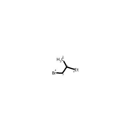 [CH2]CC(C)CBr